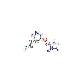 CN1CCC[C@H]1COc1cncc(C#CF)c1